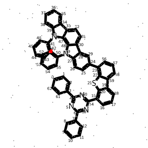 c1ccc(-c2nc(-c3ccccc3)nc(-c3cccc4c3sc3c(-c5ccc6c(c5)c5ccc7c8ccccc8n(-c8ccccc8)c7c5n6-c5ccccc5)cccc34)n2)cc1